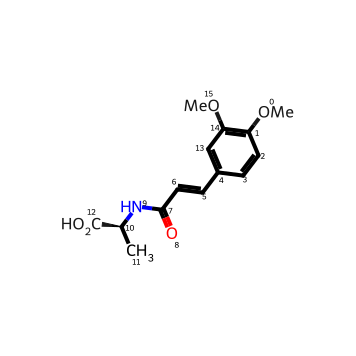 COc1ccc(C=CC(=O)N[C@@H](C)C(=O)O)cc1OC